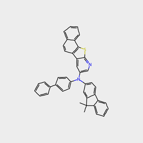 CC1(C)c2ccccc2-c2ccc(N(c3ccc(-c4ccccc4)cc3)c3cnc4sc5c6ccccc6ccc5c4c3)cc21